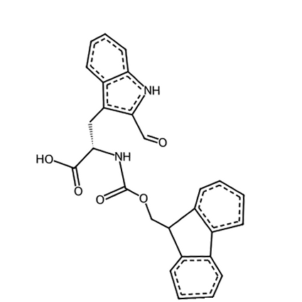 O=Cc1[nH]c2ccccc2c1C[C@H](NC(=O)OCC1c2ccccc2-c2ccccc21)C(=O)O